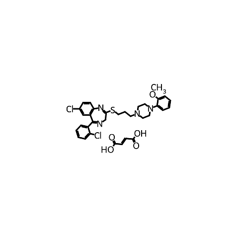 COc1ccccc1N1CCN(CCCSC2=Nc3ccc(Cl)cc3C(c3ccccc3Cl)=NC2)CC1.O=C(O)C=CC(=O)O